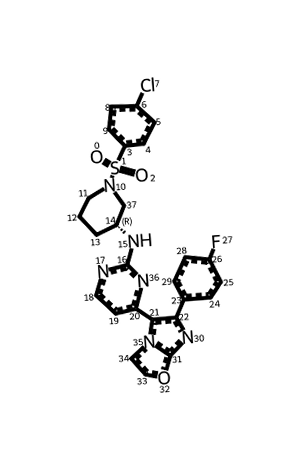 O=S(=O)(c1ccc(Cl)cc1)N1CCC[C@@H](Nc2nccc(-c3c(-c4ccc(F)cc4)nc4occn34)n2)C1